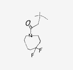 CC(C)(C)CC(=O)N1CCCC(F)(F)CC1